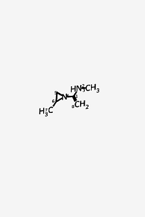 C=C(NC)N1CC1C